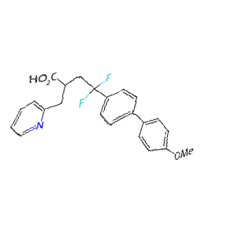 COc1ccc(-c2ccc(C(F)(F)CC(Cc3ccccn3)C(=O)O)cc2)cc1